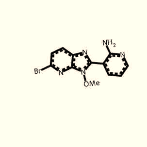 COn1c(-c2cccnc2N)nc2ccc(Br)nc21